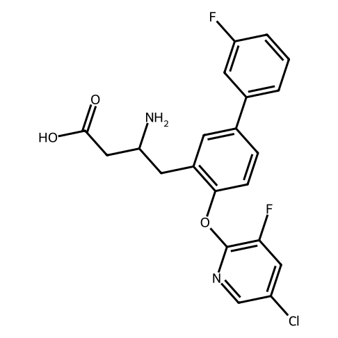 NC(CC(=O)O)Cc1cc(-c2cccc(F)c2)ccc1Oc1ncc(Cl)cc1F